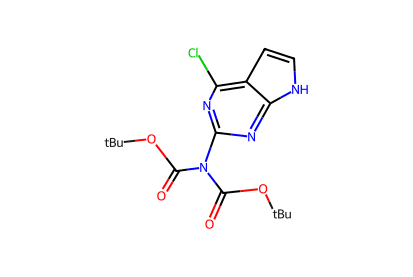 CC(C)(C)OC(=O)N(C(=O)OC(C)(C)C)c1nc(Cl)c2cc[nH]c2n1